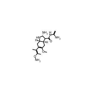 C=C(N)NC(=O)C1[C@@H](N)N[C@H]2CC(/C(C)=C(\C)ON)=C(OC)C[C@@H]12